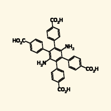 Nc1c(-c2ccc(C(=O)O)cc2)c(-c2ccc(C(=O)O)cc2)c(N)c(-c2ccc(C(=O)O)cc2)c1-c1ccc(C(=O)O)cc1